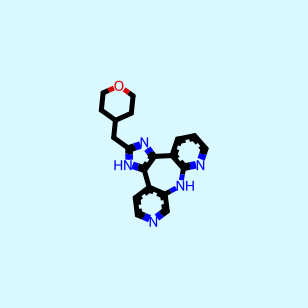 c1cnc2c(c1)-c1nc(CC3CCOCC3)[nH]c1-c1ccncc1N2